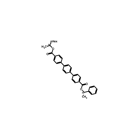 CCCCCC[C@H](C)OC(=O)c1ccc(-c2ccc(-c3ccc(C(=O)O[C@@H](C)c4ccccc4)cc3)cc2)cc1